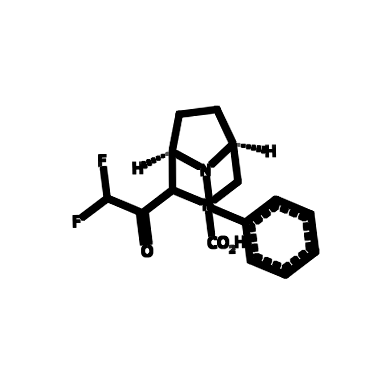 O=C(C(F)F)C1[C@H]2CC[C@@H](CN1C(=O)O)N2Cc1ccccc1